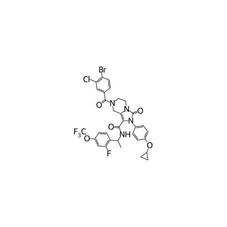 CC(NC(=O)c1c2n(c(=O)n1-c1ccc(OC3CC3)cc1)CCN(C(=O)c1ccc(Br)c(Cl)c1)C2)c1ccc(OC(F)(F)F)cc1F